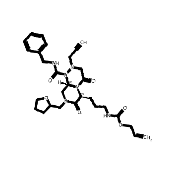 C#CCN1CC(=O)N2[C@@H](CCCNC(=O)OCC=C)C(=O)N(CC3CCCO3)C[C@@H]2N1C(=O)NCc1ccccc1